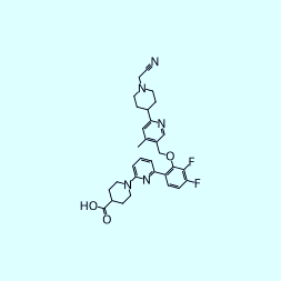 Cc1cc(C2CCN(CC#N)CC2)ncc1COc1c(-c2cccc(N3CCC(C(=O)O)CC3)n2)ccc(F)c1F